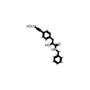 CCCCCCCCC#Cc1ccc(CC(O)C(=O)NCc2ccccc2)cc1